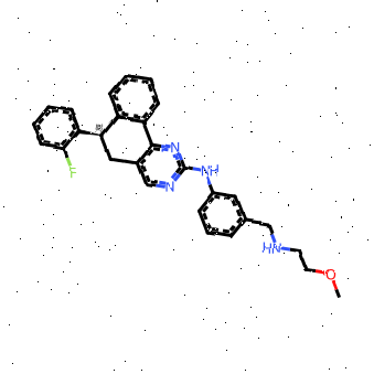 COCCNCc1cccc(Nc2ncc3c(n2)-c2ccccc2[C@H](c2ccccc2F)C3)c1